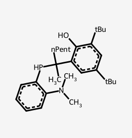 CCCCCC(C)(Pc1ccccc1N(C)C)c1cc(C(C)(C)C)cc(C(C)(C)C)c1O